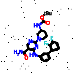 CC(C)(C)OC(=O)N[C@H]1CCCN(c2ncc(C(N)=O)c(Nc3cccc(-c4cccc(F)c4F)c3)n2)C1